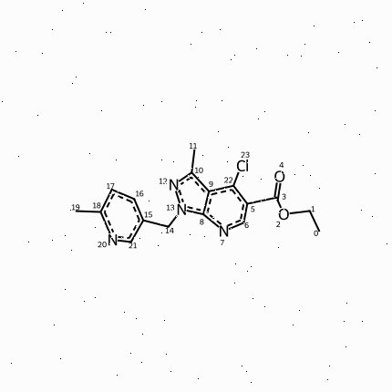 CCOC(=O)c1cnc2c(c(C)nn2Cc2ccc(C)nc2)c1Cl